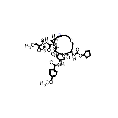 CCC(C)S(=O)(=O)NC(=O)[C@@]12C[C@H]1/C=C\CCCCC[C@H](NC(=O)OC1CCCC1)C(=O)N1C[C@H](NC(=O)c3ccc(OC)cc3)C[C@H]1C(=O)N2